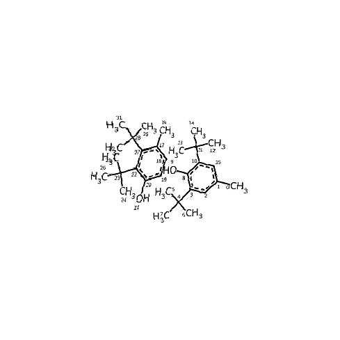 Cc1cc(C(C)(C)C)c(O)c(C(C)(C)C)c1.Cc1ccc(O)c(C(C)(C)C)c1C(C)(C)C